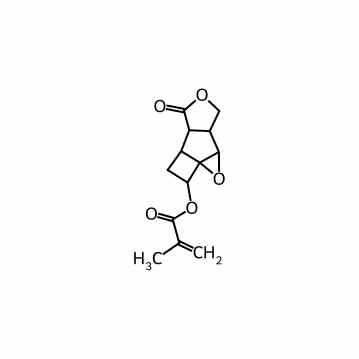 C=C(C)C(=O)OC1CC2C3C(=O)OCC3C3OC123